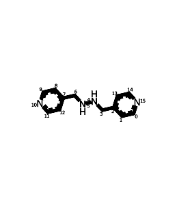 c1cc(CNNCc2ccncc2)ccn1